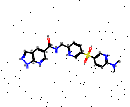 CN(C)c1ccc(S(=O)(=O)c2ccc(CNC(=O)c3cnc4[nH]ncc4c3)nc2)cn1